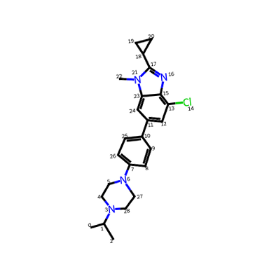 CC(C)N1CCN(c2ccc(-c3cc(Cl)c4nc(C5CC5)n(C)c4c3)cc2)CC1